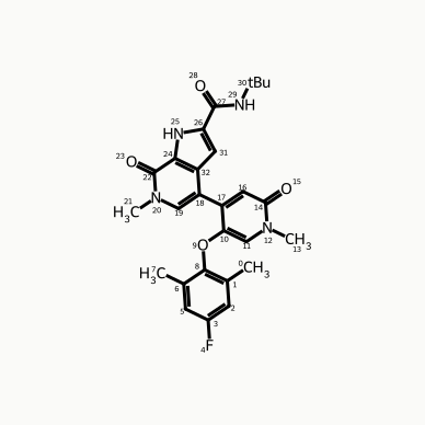 Cc1cc(F)cc(C)c1Oc1cn(C)c(=O)cc1-c1cn(C)c(=O)c2[nH]c(C(=O)NC(C)(C)C)cc12